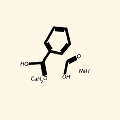 O=C(O)c1ccccc1.O=CO.[CaH2].[NaH]